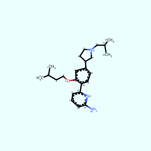 CC(C)CCOc1cc(C2CCN(CC(C)C)C2)ccc1-c1cccc(N)n1